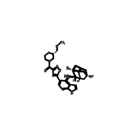 COC[C@@H]1CN(C(=O)c2noc(-c3cnc4[nH]ccc4c3N[C@H]3[C@@H]4CC5C[C@H]3C[C@@](O)(C5)C4)n2)CCO1